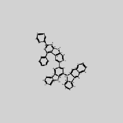 c1ccc(-c2nc(-c3ccccc3)c3c(n2)oc2ccc(-c4cc(-n5c6ccccc6c6cc7ccccc7cc65)c5oc6ccccc6c5c4)cc23)cc1